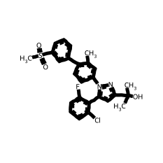 Cc1cc(-n2nc(C(C)(C)O)cc2-c2c(F)cccc2Cl)ccc1-c1cccc(S(C)(=O)=O)c1